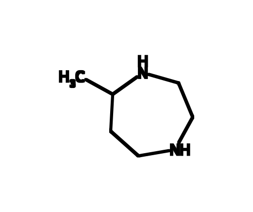 CC1CCNCCN1